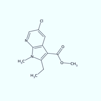 CCc1c(C(=O)OC)c2cc(Cl)cnc2n1C